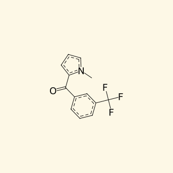 Cn1cccc1C(=O)c1cccc(C(F)(F)F)c1